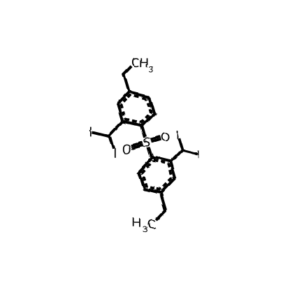 CCc1ccc(S(=O)(=O)c2ccc(CC)cc2C(I)I)c(C(I)I)c1